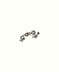 C[C@H](Nc1nccc(N2C(=O)OC[C@@H]2C2CC2)n1)c1ccc(CN2CCC(N(C)C)C(F)(F)C2)cc1